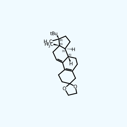 CC(C)(C)[C@@]1(C)CC[C@H]2[C@@H]3CCC4=C(CCC5(C4)OCCO5)C3=CC[C@@]21C